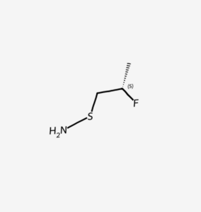 C[C@H](F)CSN